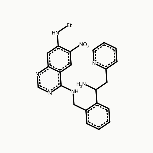 CCNc1cc2ncnc(NCc3ccccc3C(N)Cc3ccccn3)c2cc1[N+](=O)[O-]